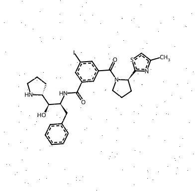 Cc1csc([C@H]2CCCN2C(=O)c2cc(I)cc(C(=O)N[C@@H](Cc3ccccc3)[C@@H](O)[C@H]3CCCN3)c2)n1